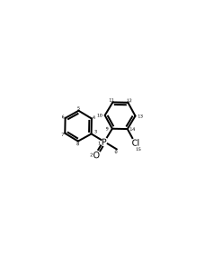 CP(=O)(c1ccccc1)c1ccccc1Cl